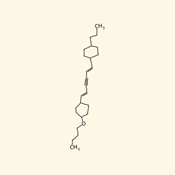 CCCCOC1CCC(C=CC#CC=CC2CCC(CCC)CC2)CC1